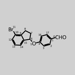 O=Cc1ccc(O[C@@H]2CCc3c(Br)cccc32)cc1